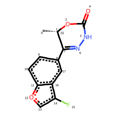 C[C@@H]1OC(=O)NN=C1c1ccc2occ(F)c2c1